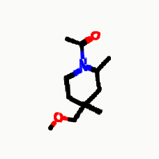 COCC1(C)CCN(C(C)=O)C(C)C1